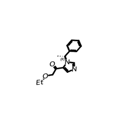 CCOCC(=O)c1cncn1[C@H](C)c1ccccc1